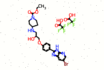 CCOC(=O)N1CCC(NCC(O)COc2ccc(-c3nc4cc(Br)cnc4[nH]3)cc2)CC1.O=C(O)C(F)(F)F.O=C(O)C(F)(F)F